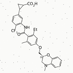 CCc1cc(OC[C@@H]2CN(C)c3ccccc3O2)cc(C)c1C(=O)Nc1cc(C2CC2C(=O)O)ccc1C(F)(F)F